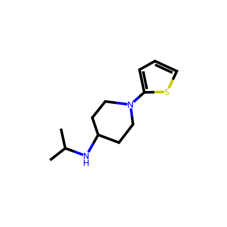 CC(C)NC1CCN(c2cccs2)CC1